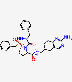 Nc1ncc2c(n1)CCC(CNC(=O)C1CCCN1C(=O)C(Cc1ccccc1)NS(=O)(=O)Cc1ccccc1)C2